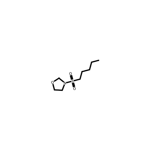 CCCCCS(=O)(=O)N1[CH]OCC1